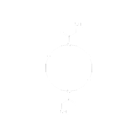 NCC(=O)N1CCOCCOCCN(C(=O)CN)CCOCCOCC1